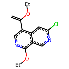 C=C(OCC)c1cnc(OCC)c2cnc(Cl)cc12